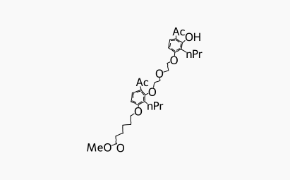 CCCc1c(OCCOCCOc2c(C(C)=O)ccc(OCCCCCC(=O)OC)c2CCC)ccc(C(C)=O)c1O